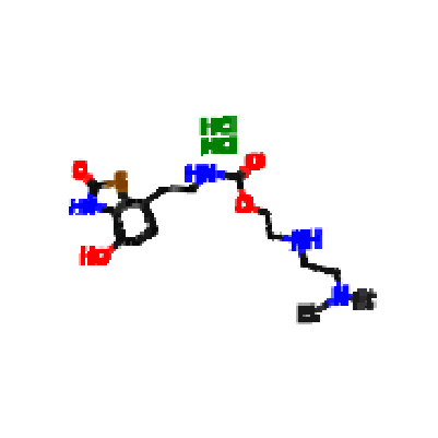 CCN(CC)CCNCCOC(=O)NCCc1ccc(O)c2[nH]c(=O)sc12.Cl.Cl